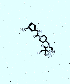 Cc1cccc(NC(=O)N2CCC(CN(C=N)C(=O)C(C)(N)CC(C)C)CC2)c1